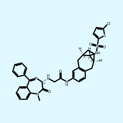 CN1C(=O)[C@@H](NCC(=O)Nc2ccc3c(c2)C[C@H]2CC[C@@H](C3)[C@H]2NS(=O)(=O)c2ccc(Cl)s2)N=C(c2ccccc2)c2ccccc21